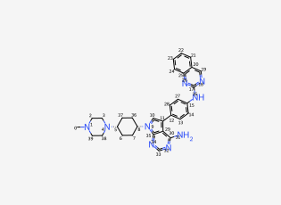 CN1CCN([C@H]2CC[C@@H](n3cc(-c4ccc(Nc5ncc6ccccc6n5)cc4)c4c(N)ncnc43)CC2)CC1